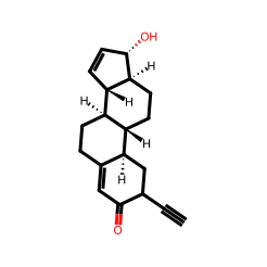 C#CC1C[C@H]2C(=CC1=O)CC[C@H]1[C@@H]3C=C[C@H](O)[C@H]3CC[C@@H]12